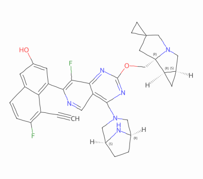 C#Cc1c(F)ccc2cc(O)cc(-c3ncc4c(N5C[C@H]6CC[C@@H](C5)N6)nc(OC[C@]56CC7(CC7)CN5C[C@H]5C[C@H]56)nc4c3F)c12